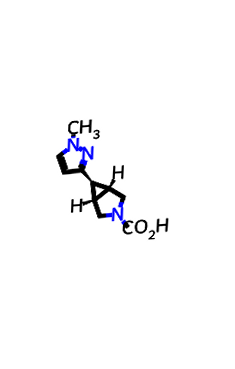 Cn1ccc([C@H]2[C@@H]3CN(C(=O)O)C[C@@H]32)n1